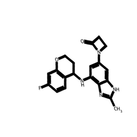 Cc1nc2c(NC3CCOc4cc(F)ccc43)cc(N3CCC3=O)cc2[nH]1